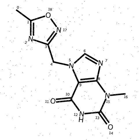 Cc1nc(Cn2cnc3c2c(=O)[nH]c(=O)n3C)no1